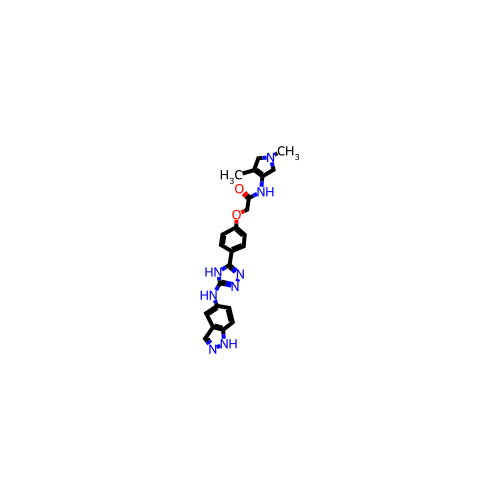 CC1=C(NC(=O)COc2ccc(-c3nnc(Nc4ccc5[nH]ncc5c4)[nH]3)cc2)CN(C)C1